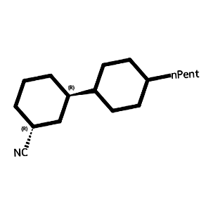 CCCCCC1CCC([C@@H]2CCC[C@@H](C#N)C2)CC1